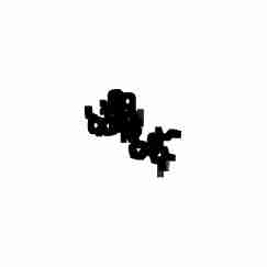 C=CCOC1(C)CCN(c2c(C(OC(C)(C)C)C(=O)OC)c(C)nc3cc(-c4cccc(-c5cc(F)c(C)cc5OC(C)CC=C)c4)nn23)CC1